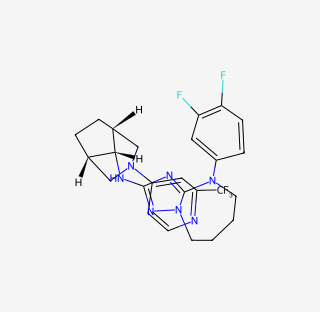 Fc1ccc(N2CCCCn3nc(N[C@H]4[C@@H]5CC[C@H]4CN(c4ccnc(C(F)(F)F)c4)C5)nc32)cc1F